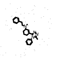 Cc1nnc(C2=CC(N(C)CCc3ccccc3)CCC2)n1-c1ccccc1